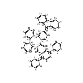 c1ccc(-n2ccn(-c3ccccc3)c3cc4c(cc32)c2ccc(-n3c5ccccc5c5ccccc53)cc2c2ccccc2c2cccnc24)cc1